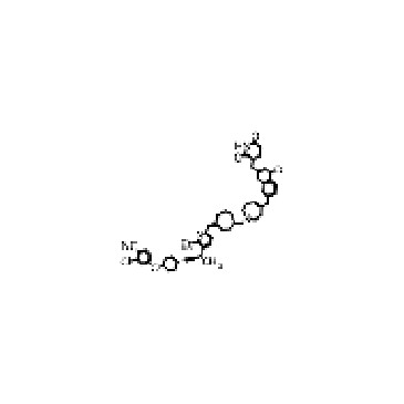 CCc1nc(/C=C2/CCCC(CN3CCC=C(Cc4ccc5c(c4)CC(CC4CCC(=O)NC4=O)=CC5=O)CC3)CC2)ccc1C(C)C#C[C@H]1CC[C@H](Oc2ccc(C#N)c(Cl)c2)CC1